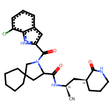 N#C[C@H](C[C@@H]1CCCNC1=O)NC(=O)C1CC2(CCCCC2)CN1C(=O)c1cc2cccc(Cl)c2[nH]1